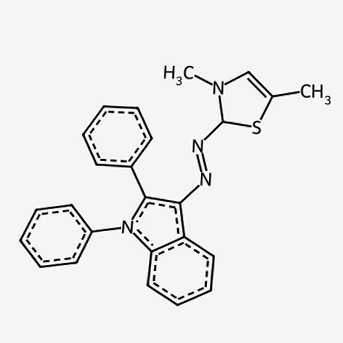 CC1=CN(C)C(N=Nc2c(-c3ccccc3)n(-c3ccccc3)c3ccccc23)S1